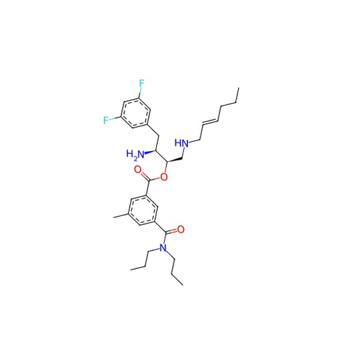 CCCC=CCNC[C@@H](OC(=O)c1cc(C)cc(C(=O)N(CCC)CCC)c1)[C@@H](N)Cc1cc(F)cc(F)c1